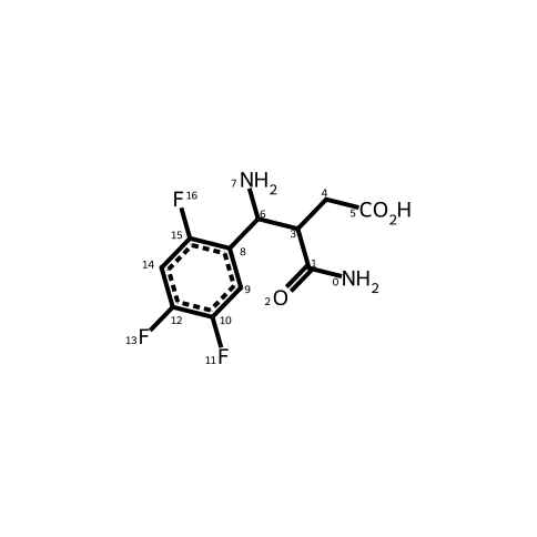 NC(=O)C(CC(=O)O)C(N)c1cc(F)c(F)cc1F